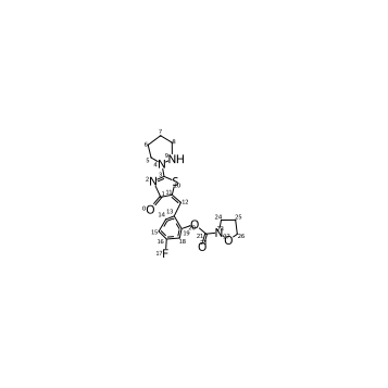 O=C1N=C(N2CCCCN2)S/C1=C/c1ccc(F)cc1OC(=O)N1CCCO1